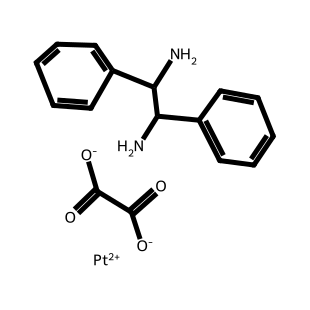 NC(c1ccccc1)C(N)c1ccccc1.O=C([O-])C(=O)[O-].[Pt+2]